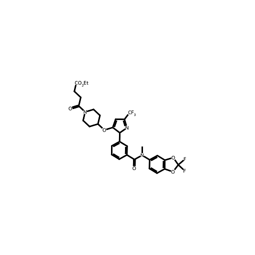 CCOC(=O)CCC(=O)N1CCC(OC2=CC(C(F)(F)F)=NC2c2cccc(C(=O)N(C)c3ccc4c(c3)OC(F)(F)O4)c2)CC1